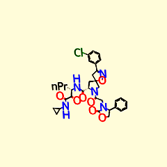 CCC[C@H](NC(=O)[C@@H]1C[C@]2(CC(c3cccc(Cl)c3)=NO2)CN1C(=O)CN1C(=O)OCC1c1ccccc1)C(=O)C(=O)NC1CC1